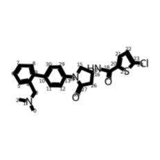 CN(C)Cc1ccccc1-c1ccc(N2CC(NC(=O)c3ccc(Cl)s3)CC2=O)cc1